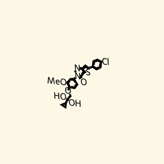 COc1cc(-n2cnc3cc(-c4ccc(Cl)cc4)sc3c2=O)ccc1OCC(O)(O)C1CC1